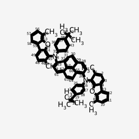 Cc1ccc2c(oc3c(C)cccc32)c1N(c1ccc(C(C)(C)C)cc1)c1ccc2ccc3c(N(c4ccc(C(C)(C)C)cc4)c4c(C)ccc5c4oc4c(C)cccc45)ccc4ccc1c2c43